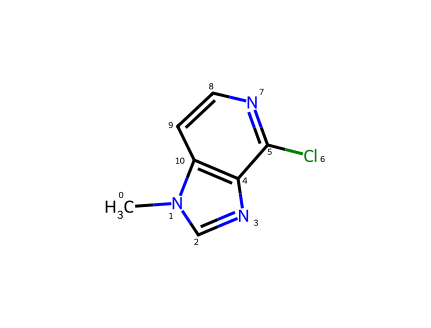 Cn1cnc2c(Cl)nccc21